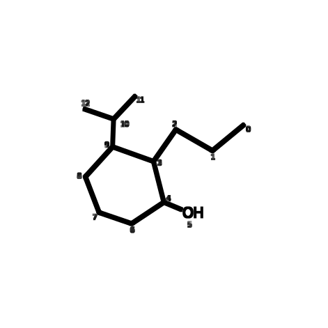 CCCC1C(O)CCCC1C(C)C